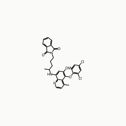 COc1cc(NC(C)CCCN2C(=O)c3ccccc3C2=O)c2nccc(C)c2c1Oc1ccc(Cl)cc1Cl